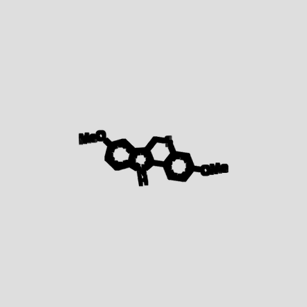 COc1ccc2c(c1)SCc1c-2[nH]c2ccc(OC)cc12